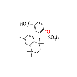 Cc1ccc2c(c1)C(C)(C)CCC2(C)C.O=C(O)c1ccc(OS(=O)(=O)O)cc1